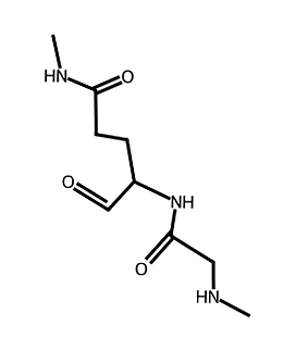 CNCC(=O)NC(C=O)CCC(=O)NC